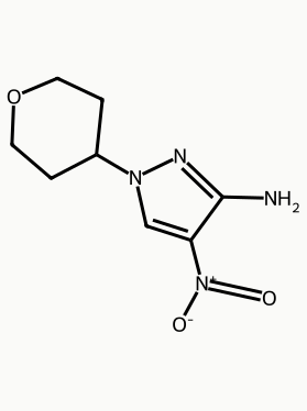 Nc1nn(C2CCOCC2)cc1[N+](=O)[O-]